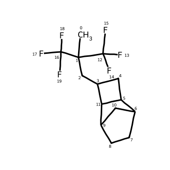 CC(CC1CC2C3CCC(C3)C12)(C(F)(F)F)C(F)(F)F